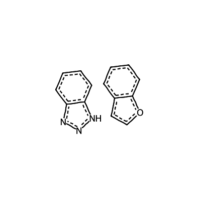 c1ccc2[nH]nnc2c1.c1ccc2occc2c1